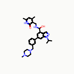 Cc1cc(C)c(CNC(O)c2cc(-c3cccc(CN4CCN(C)CC4)c3)cc3c2cnn3C(C)C)c(=O)[nH]1